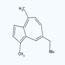 Cc1ccc(CC(C)(C)C)cc2c(C)ccc1-2